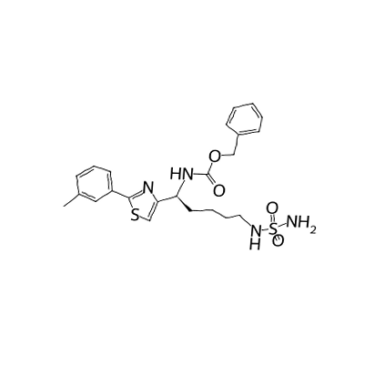 Cc1cccc(-c2nc([C@H](CCCCNS(N)(=O)=O)NC(=O)OCc3ccccc3)cs2)c1